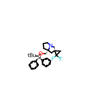 CC(C)(C)[Si](OC[C@]12CCCN1C[C@@]1(CC1(F)F)C2)(c1ccccc1)c1ccccc1